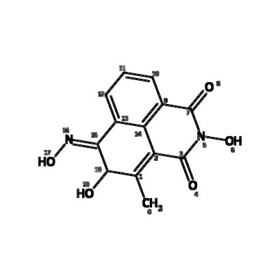 CC1=C2C(=O)N(O)C(=O)c3cccc(c32)C(=NO)C1O